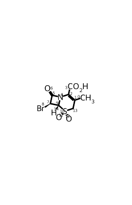 CC1=C(C(=O)O)N2C(=O)[C@H](Br)[C@H]2S(=O)(=O)C1